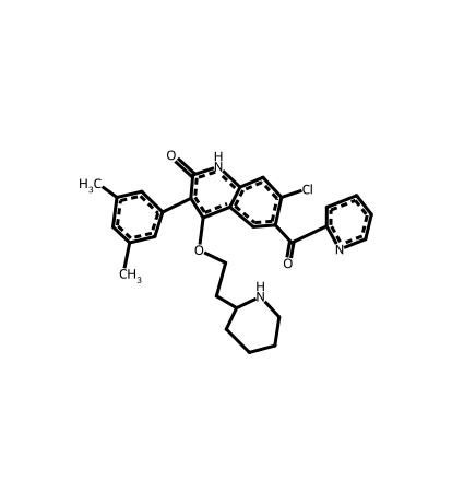 Cc1cc(C)cc(-c2c(OCCC3CCCCN3)c3cc(C(=O)c4ccccn4)c(Cl)cc3[nH]c2=O)c1